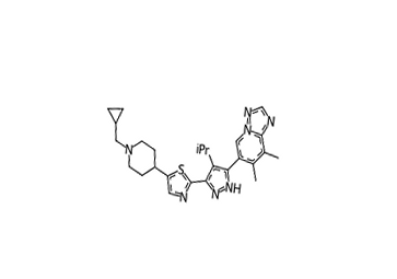 Cc1c(-c2[nH]nc(-c3ncc(C4CCN(CC5CC5)CC4)s3)c2C(C)C)cn2ncnc2c1C